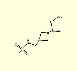 CC(C)(C)OC(=O)N1CC(CNS(C)(=O)=O)C1